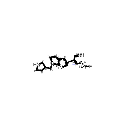 N=C/C(=C\NPI)c1cnc2c(ccn2CC2CCNC2)c1